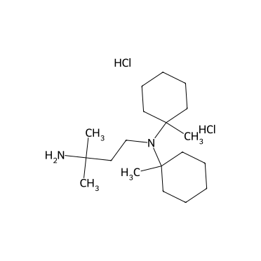 CC(C)(N)CCN(C1(C)CCCCC1)C1(C)CCCCC1.Cl.Cl